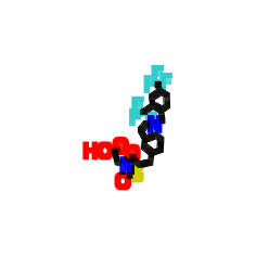 O=C(O)CN1C(=O)SC(=Cc2ccc3c(ccn3Cc3ccc(C(F)(F)F)cc3C(F)(F)F)c2)C1=O